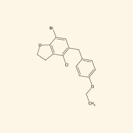 CCOc1ccc(Cc2cc(Br)c3c(c2Cl)CCO3)cc1